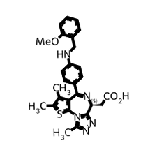 COc1ccccc1CNc1ccc(C2=N[C@@H](CC(=O)O)c3nnc(C)n3-c3sc(C)c(C)c32)cc1